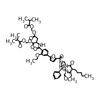 CCCCCC(C(=O)NCNC(=O)c1ccc(-c2ccc(C(=O)NC(CC(=O)OCOC(=O)C(C)C)C(=O)OCOC(=O)C(C)C)c(OCC)c2)o1)[C@@H](CC)N(C=O)OCc1ccccc1